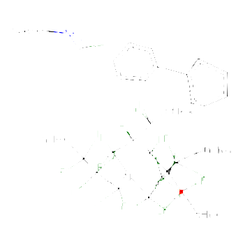 CCCCCCC(F)(F)C(F)(F)[C](F)(F)[Al-]([C](F)(F)C(F)(F)C(F)(F)CCCCCC)([C](F)(F)C(F)(F)C(F)(F)CCCCCC)[C](F)(F)C(F)(F)C(F)(F)CCCCCC.CCCCCC[NH2+]CF.c1ccc(-c2ccccc2)cc1